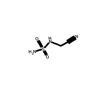 N#CCNS(N)(=O)=O